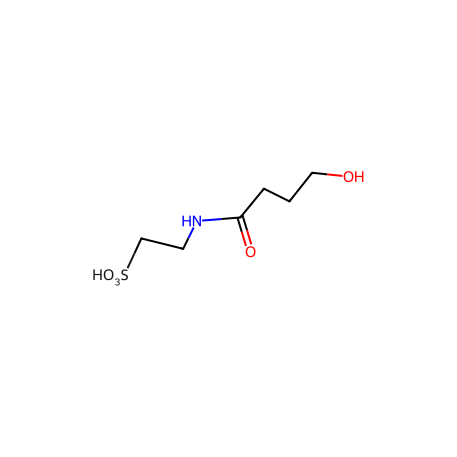 O=C(CCCO)NCCS(=O)(=O)O